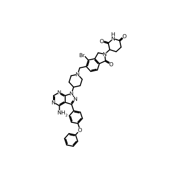 Nc1ncnc2c1c(-c1ccc(Oc3ccccc3)cc1)nn2C1CCN(Cc2ccc3c(c2Br)CN(C2CCC(=O)NC2=O)C3=O)CC1